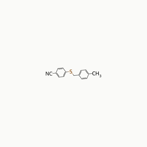 Cc1ccc(CSc2ccc(C#N)cc2)cc1